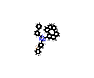 c1ccc(-c2cccc(-c3nc(-c4ccc5c(c4)sc4ccccc45)nc(-c4cc5ccc6cccc7c8cccc9ccc%10cccc(c(c4)c5c67)c%10c98)n3)c2)cc1